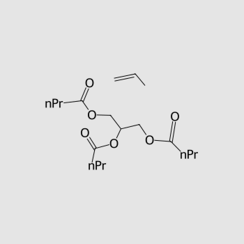 C=CC.CCCC(=O)OCC(COC(=O)CCC)OC(=O)CCC